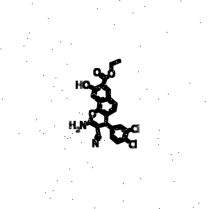 CCOC(=O)c1cc2ccc3c(c2cc1O)OC(N)=C(C#N)C3c1ccc(Cl)c(Cl)c1